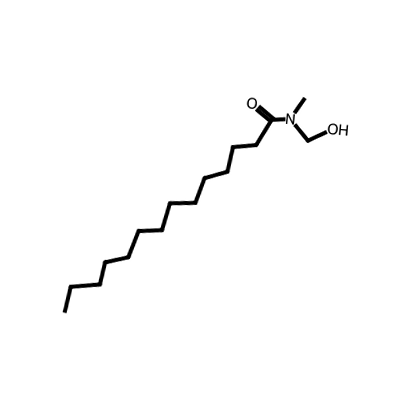 CCCCCCCCCCCCCC(=O)N(C)CO